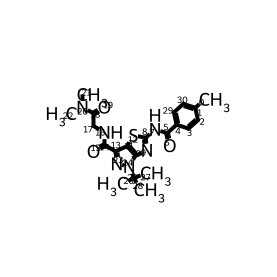 Cc1ccc(C(=O)Nc2nc3c(s2)c(C(=O)NCC(=O)N(C)C)nn3C(C)(C)C)cc1